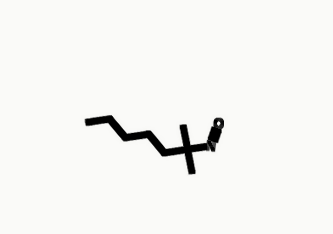 CCCCCC(C)(C)N=O